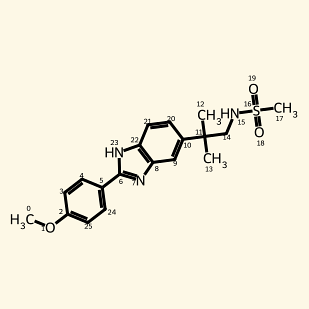 COc1ccc(-c2nc3cc(C(C)(C)CNS(C)(=O)=O)ccc3[nH]2)cc1